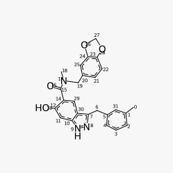 Cc1cccc(Cc2n[nH]c3cc(O)c(C(=O)N(C)Cc4ccc5c(c4)OCO5)cc23)c1